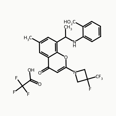 Cc1cc(C(C)Nc2ccccc2C(=O)O)c2oc(N3CC(F)(C(F)(F)F)C3)cc(=O)c2c1.O=C(O)C(F)(F)F